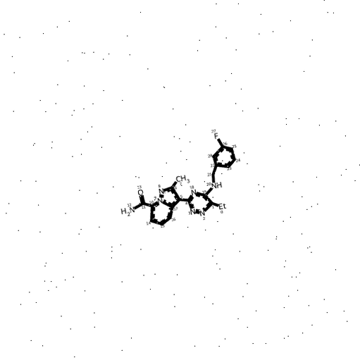 CCc1nnc(-c2c(C)nn3c(C(N)=O)cccc23)nc1NCc1cccc(F)c1